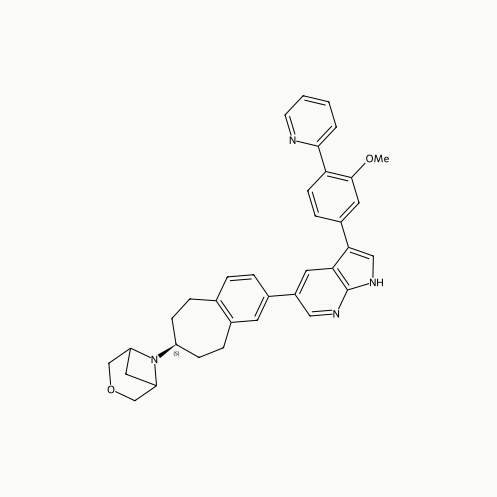 COc1cc(-c2c[nH]c3ncc(-c4ccc5c(c4)CC[C@@H](N4C6COCC4C6)CC5)cc23)ccc1-c1ccccn1